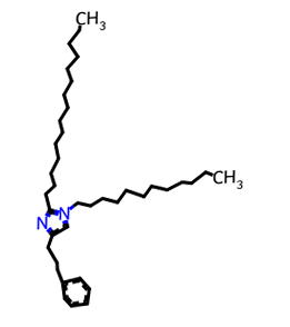 CCCCCCCCCCCCCCCc1nc(CCCc2ccccc2)cn1CCCCCCCCCCCC